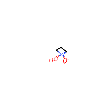 [O-][N+]1(O)CCC1